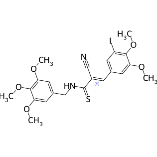 COc1cc(/C=C(\C#N)C(=S)NCc2cc(OC)c(OC)c(OC)c2)cc(I)c1OC